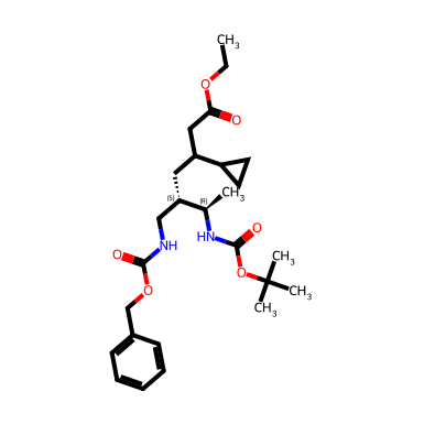 CCOC(=O)CC(C[C@@H](CNC(=O)OCc1ccccc1)[C@@H](C)NC(=O)OC(C)(C)C)C1CC1